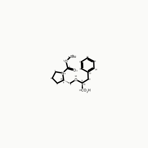 CC(C)(C)OC(=O)N1CCC[C@H]1CO[C@@H](Cc1ccccc1)C(=O)O